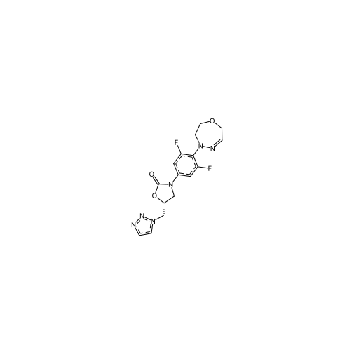 O=C1O[C@@H](Cn2ccnn2)CN1c1cc(F)c(N2CCOCC=N2)c(F)c1